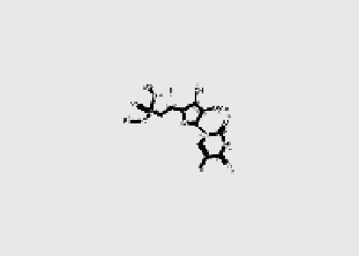 CCOP(=O)(C[C@H](C)C1O[C@H](n2cc(C)c(=O)[nH]c2=O)[C@H](OC)[C@@H]1O)OCC